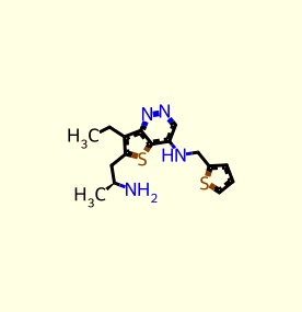 CCc1c(C[C@H](C)N)sc2c(NCc3cccs3)cnnc12